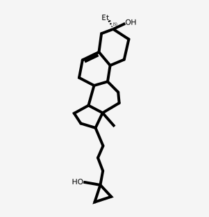 CC[C@]1(O)CCC2C(=CCC3C2CCC2(C)C(CCCC4(O)CC4)CCC32)C1